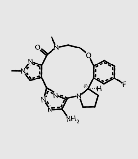 CN1CCOc2ccc(F)cc2[C@H]2CCCN2c2nc(nnc2N)-c2cn(C)nc2C1=O